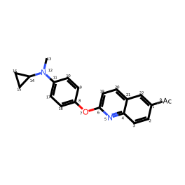 CC(=O)c1ccc2nc(Oc3ccc(N(C)C4CC4)cc3)ccc2c1